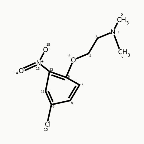 CN(C)CCOc1ccc(Cl)cc1[N+](=O)[O-]